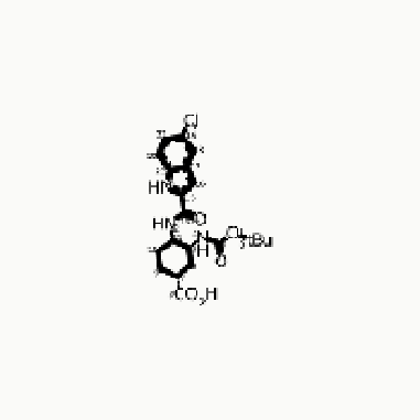 CC(C)(C)OC(=O)N[C@H]1C[C@H](C(=O)O)CC[C@H]1NC(=O)c1cc2cc(Cl)ccc2[nH]1